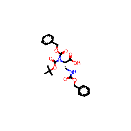 CC(C)(C)OC(=O)N(C(=O)OCc1ccccc1)[C@@H](CNC(=O)OCc1ccccc1)C(=O)O